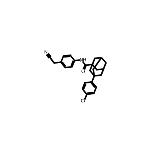 N#CCc1ccc(NC(=O)C23CC4CC(C2)CC(c2ccc(Cl)cc2)(C4)C3)cc1